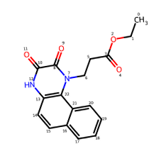 CCOC(=O)CCn1c(=O)c(=O)[nH]c2ccc3ccccc3c21